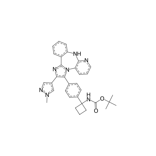 Cn1cc(-c2nc3n(c2-c2ccc(C4(NC(=O)OC(C)(C)C)CCC4)cc2)-c2cccnc2Nc2ccccc2-3)cn1